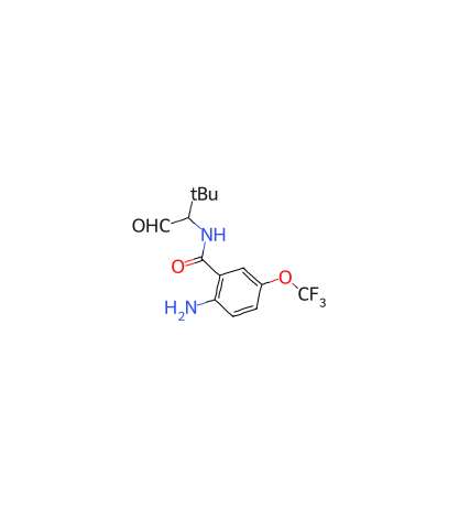 CC(C)(C)C(C=O)NC(=O)c1cc(OC(F)(F)F)ccc1N